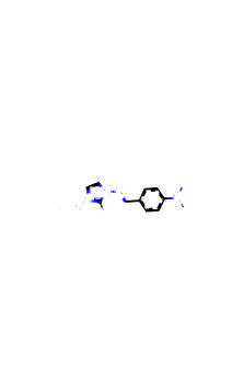 CCc1n(N=Cc2ccc(N(C)C)cc2)cc[n+]1N.[Cl-]